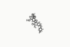 CCOC(=O)c1c(-c2ccc(Oc3ccc(F)cc3)cc2)oc2cc(NS(C)(=O)=O)c(C(C)O)cc12